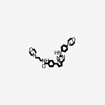 O=C(NCCCN1CCOCC1)c1ccc(-c2ccc3cnc(Nc4ccc(N5CCOCC5)cc4)nn23)cc1